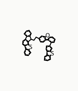 c1ccc2c(c1)-c1ccc3c(sc4ccccc43)c1C2CCc1ccc2c(c1)oc1cccc(-c3ccc4c(c3)sc3ccccc34)c12